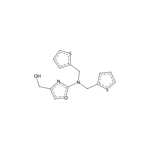 OCc1coc(N(Cc2cccs2)Cc2cccs2)n1